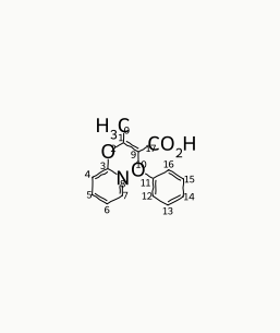 CC(Oc1ccccn1)=C(Oc1ccccc1)C(=O)O